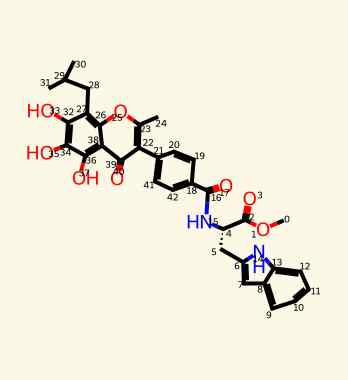 COC(=O)[C@H](Cc1cc2ccccc2[nH]1)NC(=O)c1ccc(-c2c(C)oc3c(CC(C)C)c(O)c(O)c(O)c3c2=O)cc1